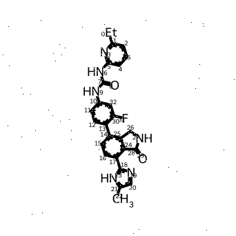 CCc1cccc(NC(=O)Nc2ccc(-c3ccc(-c4ncc(C)[nH]4)c4c3CNC4=O)c(F)c2)n1